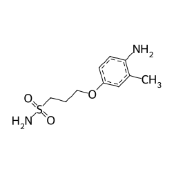 Cc1cc(OCCCS(N)(=O)=O)ccc1N